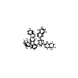 c1cc(-c2nc(-c3ccc4ccccc4c3)nc(-c3ccc4ccccc4c3)n2)c2c(c1)C1(c3cc4c(cc3-2)sc2ccccc24)C2CC3CC(C2)CC1C3